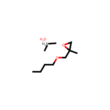 CCCCOCC1(C)CO1.C[SiH2]C.O